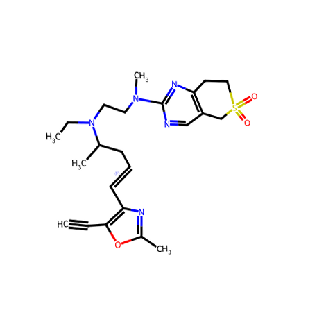 C#Cc1oc(C)nc1/C=C/CC(C)N(CC)CCN(C)c1ncc2c(n1)CCS(=O)(=O)C2